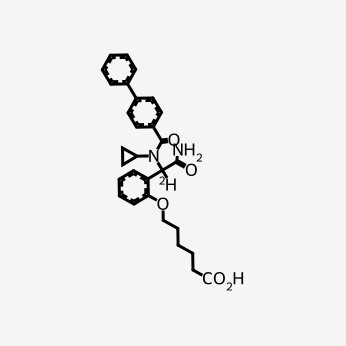 [2H]C(C(N)=O)(c1ccccc1OCCCCCC(=O)O)N(C(=O)c1ccc(-c2ccccc2)cc1)C1CC1